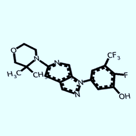 CC1(C)COCCN1c1cc2cnn(-c3cc(O)c(F)c(C(F)(F)F)c3)c2cn1